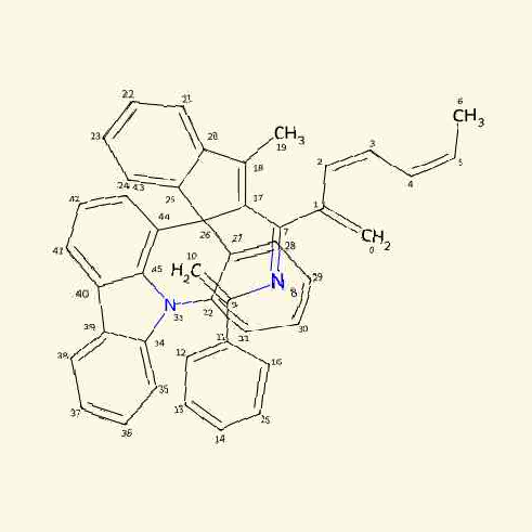 C=C(/C=C\C=C/C)/C(=N/C(=C)c1ccccc1)C1=C(C)c2ccccc2C12c1ccccc1-n1c3ccccc3c3cccc2c31